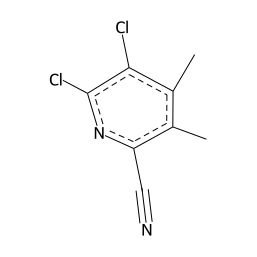 Cc1c(C#N)nc(Cl)c(Cl)c1C